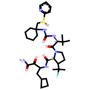 CC(C)(F)C1CCN(C(=O)[C@@H](NC(=O)NC2(C[S+]([O-])c3ccccn3)CCCCC2)C(C)(C)C)[C@@H]1C(=O)NC(CC1CCC1)C(=O)C(N)=O